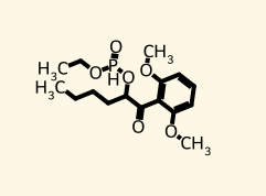 CCCCC(O[PH](=O)OCC)C(=O)c1c(OC)cccc1OC